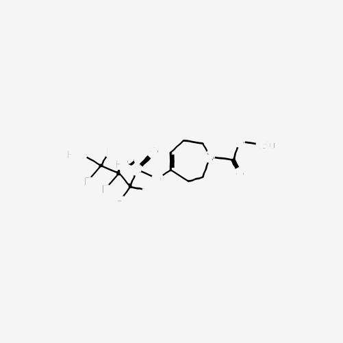 CC(C)(C)OC(=O)N1CCC=C(OS(=O)(=O)C(F)(F)C(F)(F)C(F)(F)C(F)(F)F)CC1